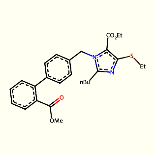 CCCCc1nc(SCC)c(C(=O)OCC)n1Cc1ccc(-c2ccccc2C(=O)OC)cc1